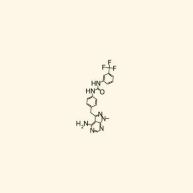 Cn1nc(Cc2ccc(NC(=O)Nc3cccc(C(F)(F)F)c3)cc2)c2c(N)ncnc21